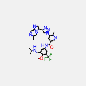 COc1c(CNC(C)C)cc(NC(=O)c2cnc(C)c(-n3cc(-c4cnc5cnc(C)cn45)nn3)c2)cc1C(F)(F)F